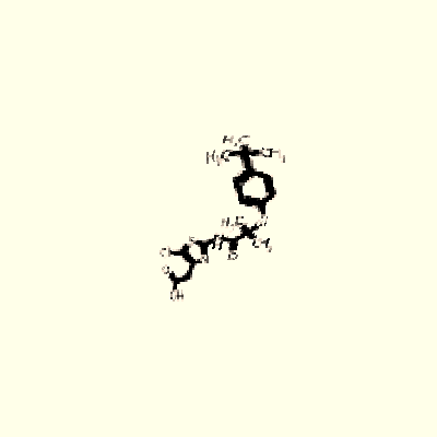 CC(C)(Oc1ccc(C(C)(C)C)cc1)C(=O)Nc1nc(CC(=O)O)c(Cl)s1